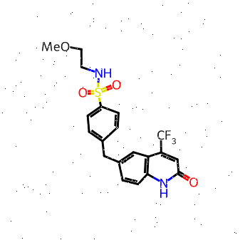 COCCNS(=O)(=O)c1ccc(Cc2ccc3[nH]c(=O)cc(C(F)(F)F)c3c2)cc1